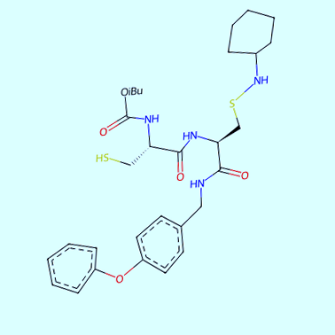 CC(C)COC(=O)N[C@@H](CS)C(=O)N[C@@H](CSNC1CCCCC1)C(=O)NCc1ccc(Oc2ccccc2)cc1